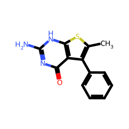 Cc1sc2[nH]c(N)nc(=O)c2c1-c1ccccc1